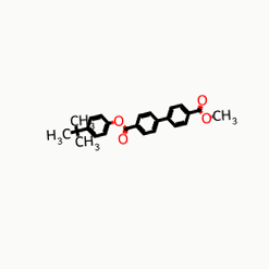 COC(=O)c1ccc(-c2ccc(C(=O)Oc3ccc(C(C)(C)C)cc3)cc2)cc1